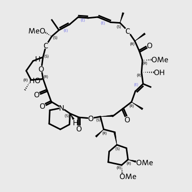 CO[C@H]1C[C@@H]2CC[C@@H](C)[C@@](O)(O2)C(=O)C(=O)N2CCCC[C@H]2C(=O)O[C@H]([C@H](C)C[C@@H]2CC[C@@H](OC)[C@H](OC)C2)CC(=O)[C@H](C)/C=C(\C)[C@@H](O)[C@@H](OC)C(=O)[C@H](C)C[C@H](C)/C=C/C=C/C=C/1C